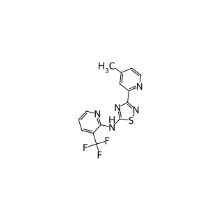 Cc1ccnc(-c2nsc(Nc3ncccc3C(F)(F)F)n2)c1